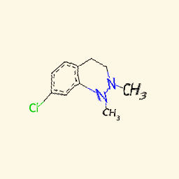 CN1CCc2ccc(Cl)cc2N1C